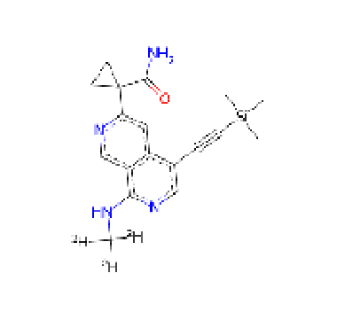 [2H]C([2H])([2H])Nc1ncc(C#C[Si](C)(C)C)c2cc(C3(C(N)=O)CC3)ncc12